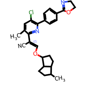 Cc1cc(Cl)c(-c2ccc(C3=NCCO3)cc2)nc1/C(C#N)=C/OC1CCC2C(C)CCC12